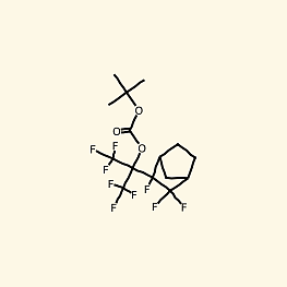 CC(C)(C)OC(=O)OC(C(F)(F)F)(C(F)(F)F)C1(F)C2CCC(C2)C1(F)F